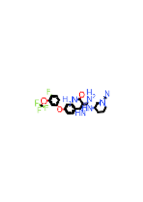 N#CN1CCCC(N/C(N)=C(\C(=N)c2ccc(Oc3ccc(F)c(OC(F)(F)F)c3)cc2)C(N)=O)C1